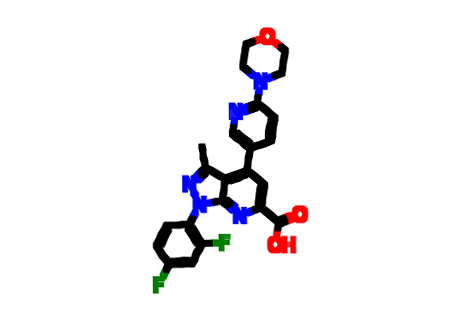 Cc1nn(-c2ccc(F)cc2F)c2nc(C(=O)O)cc(-c3ccc(N4CCOCC4)nc3)c12